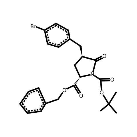 CC(C)(C)OC(=O)N1C(=O)[C@H](Cc2ccc(Br)cc2)C[C@H]1C(=O)OCc1ccccc1